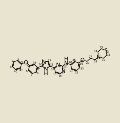 c1ccc(Oc2cccc(-c3ncc(-c4ccnc(Nc5cccc(OCCCN6CCSCC6)c5)n4)[nH]3)c2)cc1